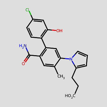 Cc1cc(C(N)=O)c(-c2ccc(Cl)cc2O)cc1-n1cccc1CCC(=O)O